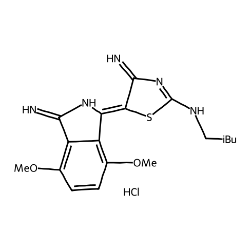 CCC(C)CNC1=NC(=N)/C(=C2\NC(=N)c3c(OC)ccc(OC)c32)S1.Cl